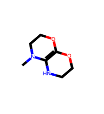 CN1CCOC2=C1NCCO2